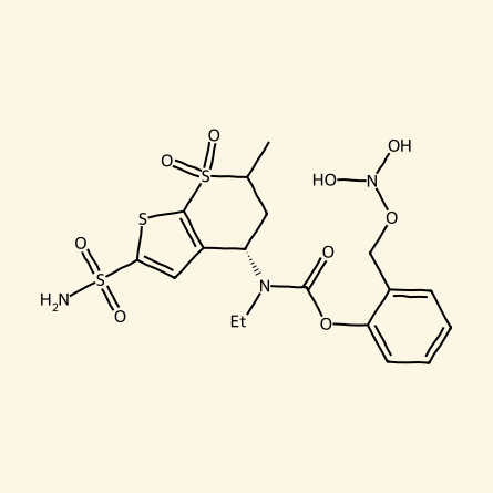 CCN(C(=O)Oc1ccccc1CON(O)O)[C@H]1CC(C)S(=O)(=O)c2sc(S(N)(=O)=O)cc21